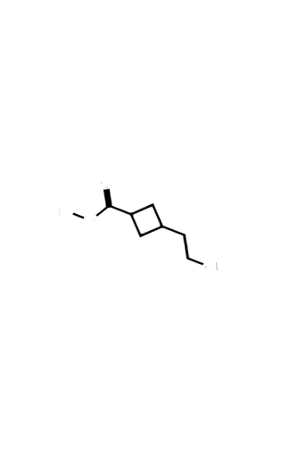 CCOC(=O)C1CC(CCO)C1